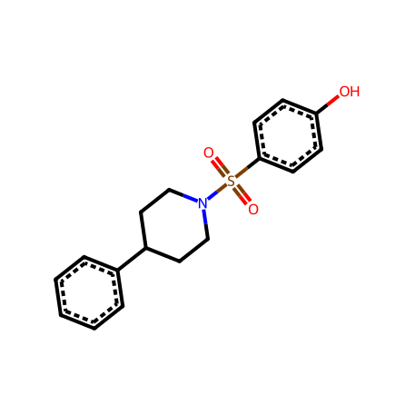 O=S(=O)(c1ccc(O)cc1)N1CCC(c2ccccc2)CC1